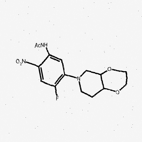 CC(=O)Nc1cc(N2CCC3OCCOC3C2)c(F)cc1[N+](=O)[O-]